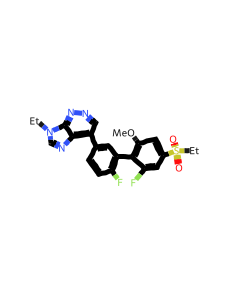 CCn1cnc2c(-c3ccc(F)c(-c4c(F)cc(S(=O)(=O)CC)cc4OC)c3)cnnc21